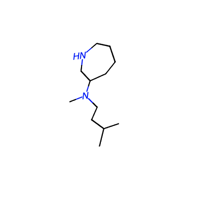 CC(C)CCN(C)C1CCCCNC1